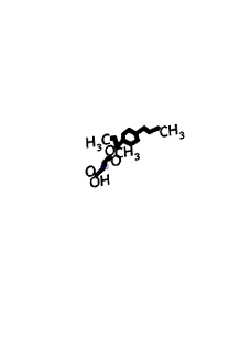 CCCCC1CCC(C(C)(CC)OC(=O)/C=C/C(=O)O)CC1